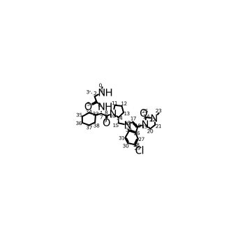 CN[C@@H](C)C(=O)N[C@H](C(=O)N1CCC[C@H]1Cn1cc(N2CCN(C)C2=O)c2cc(Cl)ccc21)C1CCCCC1